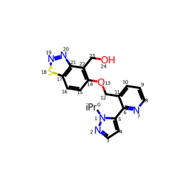 CC(C)n1nccc1-c1ncccc1COc1ccc2snnc2c1CO